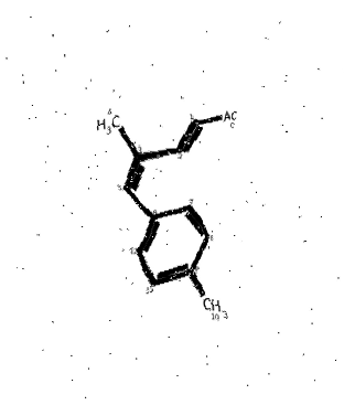 CC(=O)C=CC(C)=Cc1ccc(C)cc1